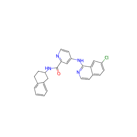 O=C(NC1CCc2ccccc2C1)c1cc(Nc2nccc3ccc(Cl)cc23)ccn1